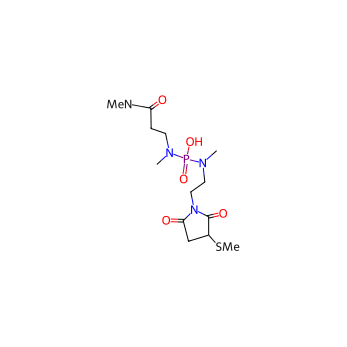 CNC(=O)CCN(C)P(=O)(O)N(C)CCN1C(=O)CC(SC)C1=O